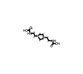 O=C(O)NCCN1CCN(CCNC(=O)O)CC1